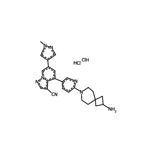 Cl.Cl.Cn1cc(-c2cc(-c3ccc(N4CCC5(CC4)CC(N)C5)nc3)c3c(C#N)cnn3c2)cn1